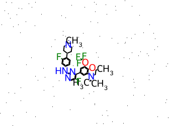 CC1CN(C(C)C)c2cc(-c3nc(Nc4ccc(C5CCN(C)CC5)c(F)c4)ncc3F)cc(OC(F)(F)F)c2O1